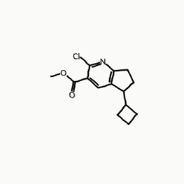 COC(=O)c1cc2c(nc1Cl)CCC2C1CCC1